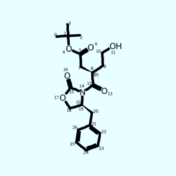 CC(C)(C)OC(=O)C[C@@H](CCO)C(=O)N1C(=O)OC[C@@H]1Cc1ccccc1